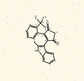 Cc1[nH]c2ccccc2c1C1=C(c2ccccc2C(F)(F)F)C(=O)CC1=O